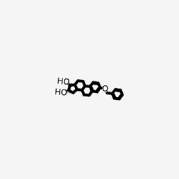 O[C@@H]1CC2C3CCc4cc(OCc5ccccc5)ccc4C3CCC2[C@H]1O